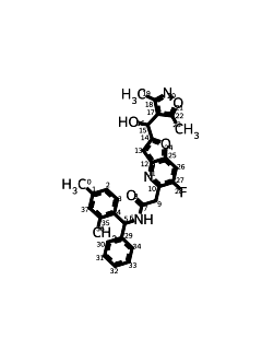 Cc1ccc(C(NC(=O)Cc2nc3cc(C(O)c4c(C)noc4C)oc3cc2F)c2ccccc2)c(C)c1